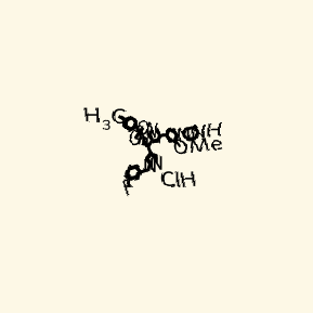 COc1cc(-c2cnc3c(c2)c(-c2cnn(Cc4cccc(F)c4)c2)cn3S(=O)(=O)c2ccc(C)cc2)ccc1N1CCNCC1.Cl